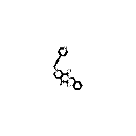 Cn1c2c(c(=O)n(Cc3ccccc3)c1=O)CN(CC#Cc1ccncc1)CC2